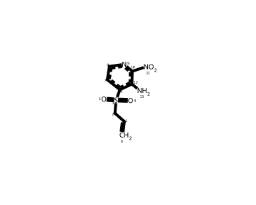 C=CCS(=O)(=O)c1ccnc([N+](=O)[O-])c1N